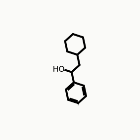 OC(CC1CCCCC1)c1cc[c]cc1